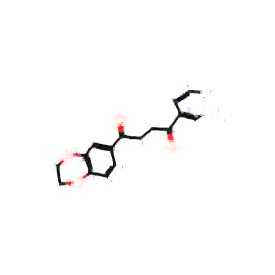 C/C=C(\C=C/CC)C(=O)CCC(=O)c1ccc2c(c1)OCCO2